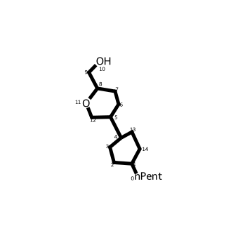 CCCCCC1CCC(C2CCC(CO)OC2)CC1